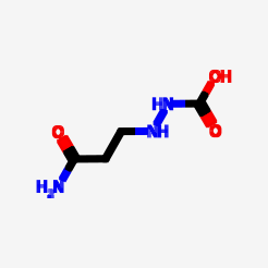 NC(=O)CCNNC(=O)O